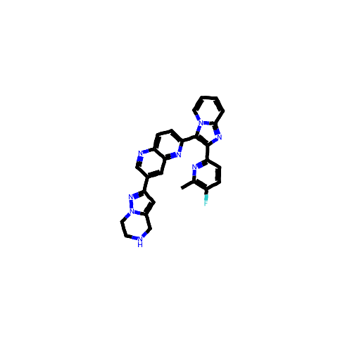 Cc1nc(-c2nc3ccccn3c2-c2ccc3ncc(-c4cc5n(n4)CCNC5)cc3n2)ccc1F